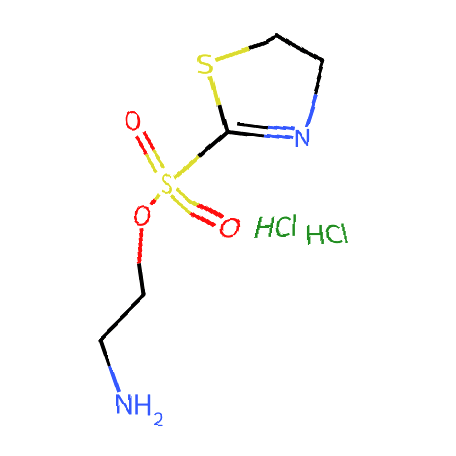 Cl.Cl.NCCOS(=O)(=O)C1=NCCS1